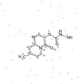 CCCNC(=O)Oc1cnc2cc(C)ccn2c1=O